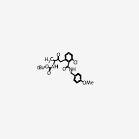 COc1ccc(CNC(=O)c2c(Cl)cccc2CC(=O)C(C)NC(=O)OC(C)(C)C)cc1